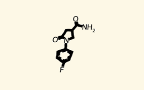 NC(=O)C1CC(=O)N(c2ccc(F)cc2)C1